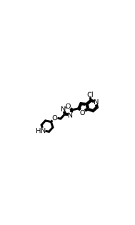 Clc1nccc2oc(-c3nc(COC4CCNCC4)no3)cc12